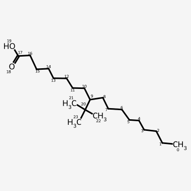 CCCCCCCCCC(CCCCCCCC(=O)O)C(C)(C)C